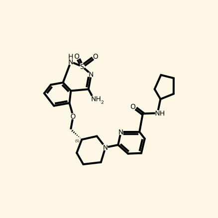 NC1=NS(=O)(=O)Nc2cccc(OC[C@H]3CCCN(c4cccc(C(=O)NC5CCCC5)n4)C3)c21